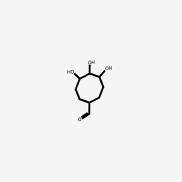 O=CC1CCC(O)C(O)C(O)CC1